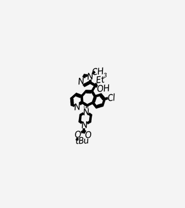 CCC(O)(C1=Cc2cccnc2[C@@H](N2CCN(C(=O)OC(C)(C)C)CC2)c2ccc(Cl)cc21)c1cncn1C